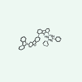 C1=CC(C2=NC(c3ccccc3)NC(c3cccc4c3sc3c(-c5ccc6oc7ccc(-n8c9ccccc9c9ccccc98)cc7c6c5)cccc34)N2)=CCC1